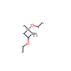 CCOC1C[Si](C)(OCC)[SiH2]1